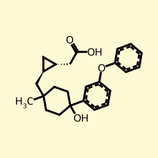 CC1(C[C@H]2C[C@@H]2CC(=O)O)CCC(O)(c2cccc(Oc3ccccc3)c2)CC1